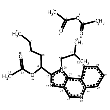 CC(=O)OC(C)=O.CCCCC(OC(C)=O)c1nc2cnc3ccccc3c2n1CC(C)C